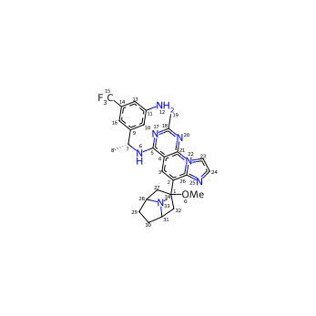 COC1(c2cc3c(N[C@H](C)c4cc(N)cc(C(F)(F)F)c4)nc(C)nc3n3ccnc23)CC2CCC(C1)N2C